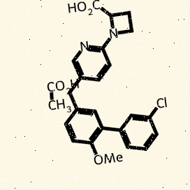 CC(=O)O.COc1ccc(Cc2ccc(N3CCC3C(=O)O)nc2)cc1-c1cccc(Cl)c1